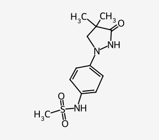 CC1(C)CN(c2ccc(NS(C)(=O)=O)cc2)NC1=O